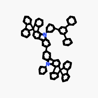 c1ccc(-c2cc(-c3ccccc3)cc(-c3cccc(-n4c5ccc(-c6ccc7c(c6)c6ccc8c(c6n7-c6ccccc6)-c6ccccc6C86c7ccccc7-c7ccccc76)cc5c5ccc6c(c54)-c4ccccc4C64c5ccccc5-c5ccccc54)c3)c2)cc1